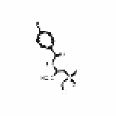 CCOS(=O)(=O)CC(NC(=O)c1ccc(F)cc1)C(=O)O